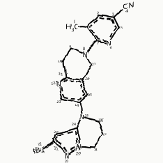 Cc1cc(C#N)cnc1N1CCc2ncc(N3CCCn4nc(C(C)(C)C)cc43)cc2C1